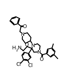 Cc1cc(C)cc(C(=O)N2CCN(C3CCN(CC(=O)c4ccccc4)CC3)C(C(=O)CN)(c3ccc(Cl)c(Cl)c3)C2)c1